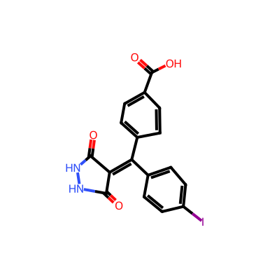 O=C1NNC(=O)C1=C(c1ccc(I)cc1)c1ccc(C(=O)O)cc1